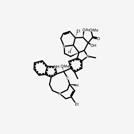 CCC1=C[C@@H]2CN(CCc3c([nH]c4ccccc34)[C@@](OC)(c3cc4c(cc3C)N(C)C3C(O)(C(=O)OC)[C@H](OC(C)=O)[C@]5(CC)C=CCN6CC[C@]43[C@@H]65)C2)C1